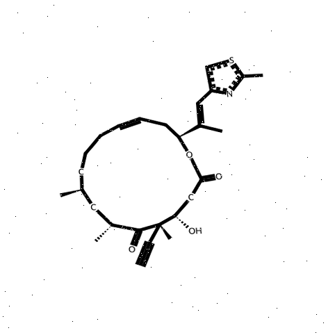 C#C[C@]1(C)C(=O)[C@H](C)C[C@@H](C)CCC/C=C\C[C@@H](/C(C)=C/c2csc(C)n2)OC(=O)C[C@@H]1O